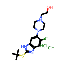 CC(C)(C)Sc1nc2cc(Cl)c(N3CCN(CCO)CC3)cc2[nH]1.Cl.Cl